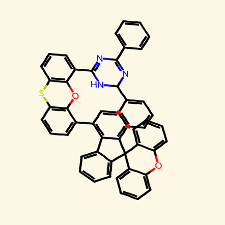 c1ccc(C2=NC(c3ccccc3)NC(c3cccc4c3Oc3c(cccc3-c3cccc5c3-c3ccccc3C53c5ccccc5Oc5ccccc53)S4)=N2)cc1